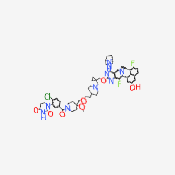 C#Cc1c(F)ccc2cc(O)cc(-c3ncc4c(N5CC6CCC(C5)N6)nc(OCC5(CN6CCC(CCOCC7(OC)CCN(C(=O)c8ccc(Cl)c(N9CCC(=O)NC9=O)c8)CC7)CC6)CC5)nc4c3F)c12